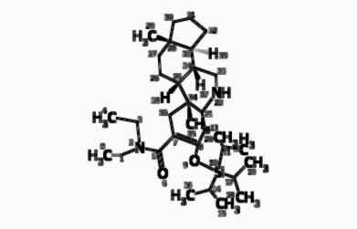 CCN(CC)C(=O)C1=C(O[Si](C(C)C)(C(C)C)C(C)C)CC2NC[C@@H]3[C@@H](CC[C@]4(C)CCC[C@@H]34)[C@@]2(C)C1